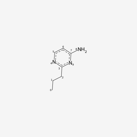 CCCc1nccc(N)n1